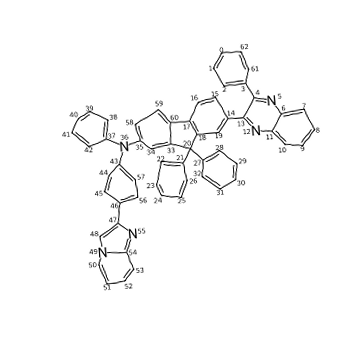 c1ccc(-c2nc3ccccc3nc2-c2ccc3c(c2)C(c2ccccc2)(c2ccccc2)c2cc(N(c4ccccc4)c4ccc(-c5cn6ccccc6n5)cc4)ccc2-3)cc1